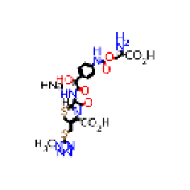 Cn1nnnc1SCC1=C(C(=O)O)N2C(=O)[C@@H](NC(=O)[C@H](O)c3ccc(NC(=O)OC[C@@H](N)C(=O)O)cc3)[C@H]2SC1.[NaH]